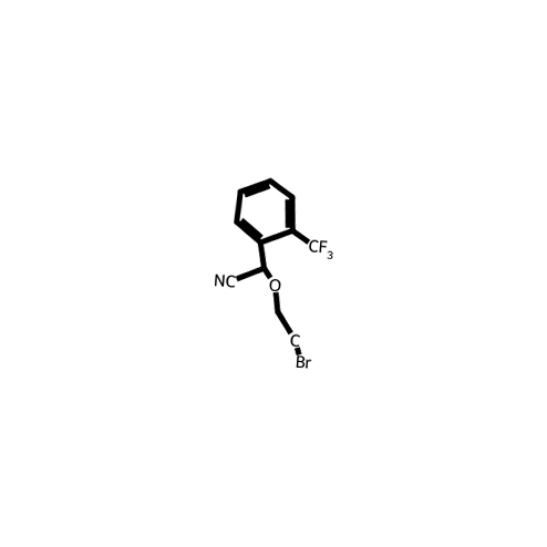 N#CC(OCCBr)c1ccccc1C(F)(F)F